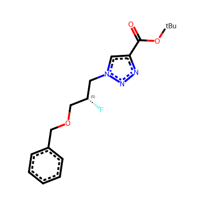 CC(C)(C)OC(=O)c1cn(C[C@H](F)COCc2ccccc2)nn1